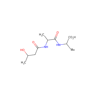 CCC(C)C(NC(=O)C(C)NC(=O)CC(C)O)C(=O)O